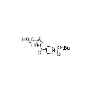 Cc1c(C(=O)O)[nH]c(C(=O)N2CCN(C(=O)OC(C)(C)C)CC2)c1C